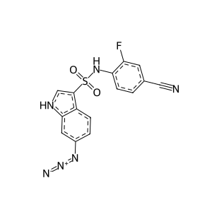 N#Cc1ccc(NS(=O)(=O)c2c[nH]c3cc(N=[N+]=[N-])ccc23)c(F)c1